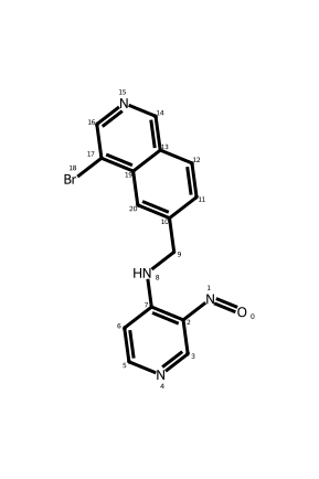 O=Nc1cnccc1NCc1ccc2cncc(Br)c2c1